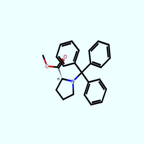 COC(=O)[C@H]1CCCN1C(c1ccccc1)(c1ccccc1)c1ccccc1